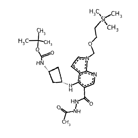 CC(=O)NNC(=O)c1cnc2c(ccn2COCC[Si](C)(C)C)c1N[C@H]1C[C@@H](NC(=O)OC(C)(C)C)C1